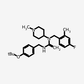 C=C(NCc1ccc(OC(C)(C)C)cc1)N(Cc1ccc(F)cc1C)C1CCN(C)CC1